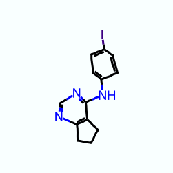 Ic1ccc(Nc2ncnc3c2CCC3)cc1